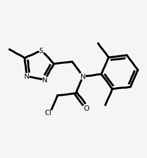 Cc1nnc(CN(C(=O)CCl)c2c(C)cccc2C)s1